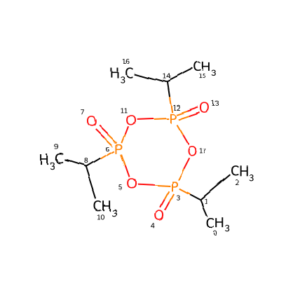 CC(C)P1(=O)OP(=O)(C(C)C)OP(=O)(C(C)C)O1